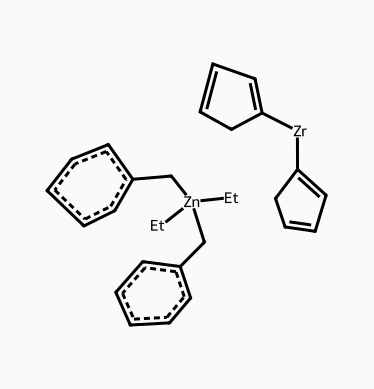 C1=CC[C]([Zr][C]2=CC=CC2)=C1.C[CH2][Zn]([CH2]C)([CH2]c1ccccc1)[CH2]c1ccccc1